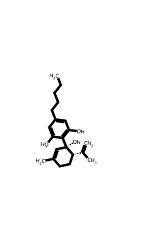 C=C(C)[C@@H]1CCC(C)=C[C@@]1(O)c1c(O)cc(CCCCC)cc1O